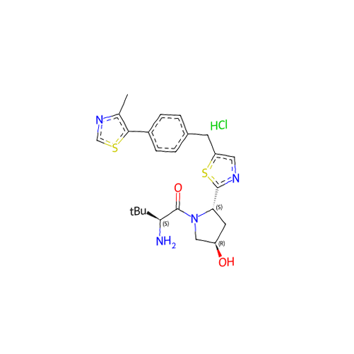 Cc1ncsc1-c1ccc(Cc2cnc([C@@H]3C[C@@H](O)CN3C(=O)[C@@H](N)C(C)(C)C)s2)cc1.Cl